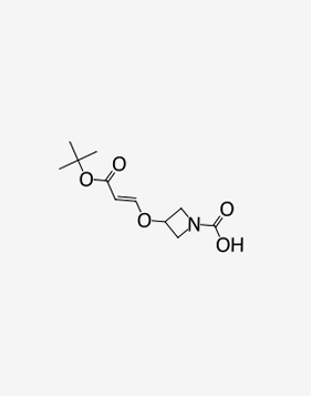 CC(C)(C)OC(=O)C=COC1CN(C(=O)O)C1